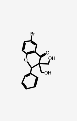 O=C1c2cc(Br)ccc2OC(c2ccccc2)C1(CO)CO